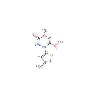 Cc1csc(N(NC(=O)OC(C)(C)C)C(=O)OC(C)(C)C)c1